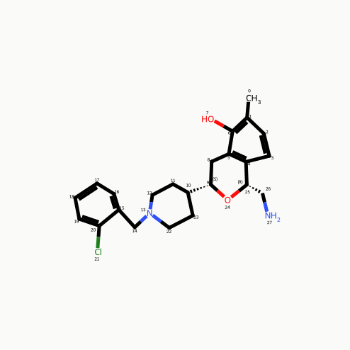 Cc1ccc2c(c1O)C[C@@H](C1CCN(Cc3ccccc3Cl)CC1)O[C@H]2CN